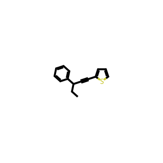 CCC(C#Cc1cccs1)c1ccccc1